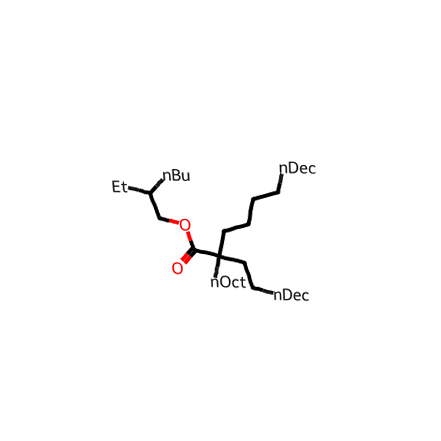 CCCCCCCCCCCCCCC(CCCCCCCC)(CCCCCCCCCCCC)C(=O)OCC(CC)CCCC